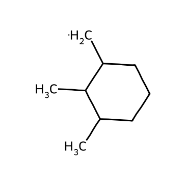 [CH2]C1CCCC(C)C1C